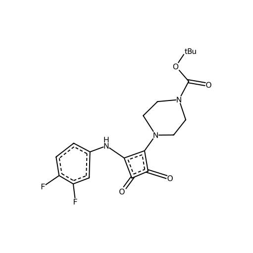 CC(C)(C)OC(=O)N1CCN(c2c(Nc3ccc(F)c(F)c3)c(=O)c2=O)CC1